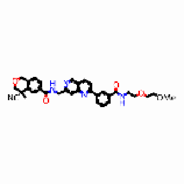 COCCOCCNC(=O)c1cccc(-c2ccc3cnc(CNC(=O)c4ccc5c(c4)[C@](C)(C#N)COC5)cc3n2)c1